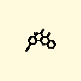 N#Cc1ccc2[nH]c(=O)c(C(=O)c3ccccc3)c(O)c2c1